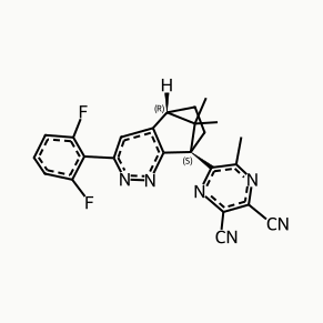 Cc1nc(C#N)c(C#N)nc1[C@@]12CC[C@@H](c3cc(-c4c(F)cccc4F)nnc31)C2(C)C